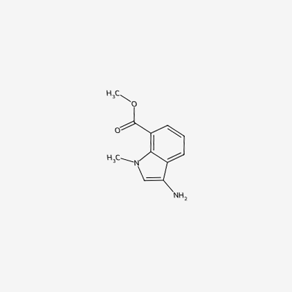 COC(=O)c1cccc2c(N)cn(C)c12